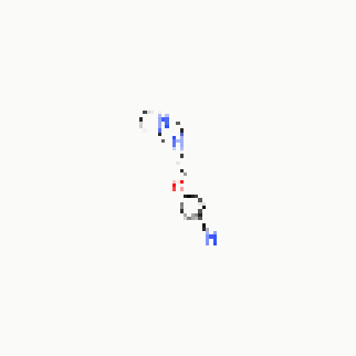 N#Cc1ccc(OCCCN2CCN3CCCCC3C2)cc1